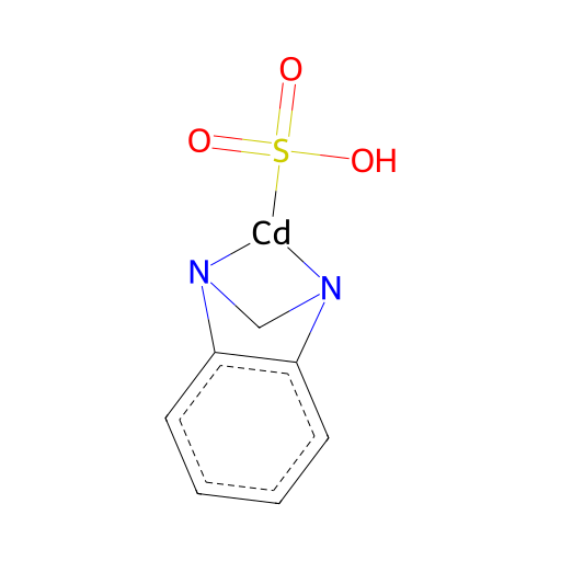 O=[S](=O)(O)[Cd]1[N]2C[N]1c1ccccc12